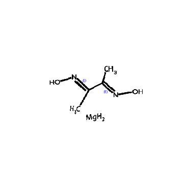 CC(=N\O)/C(C)=N/O.[MgH2]